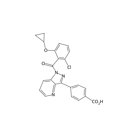 O=C(O)c1ccc(-c2nn(C(=O)c3c(Cl)cccc3OC3CC3)c3cccnc23)cc1